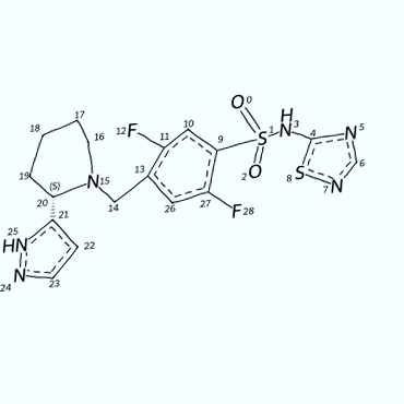 O=S(=O)(Nc1ncns1)c1cc(F)c(CN2CCCC[C@H]2c2ccn[nH]2)cc1F